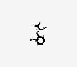 CN[C@@H](Cc1ccccc1Br)C(C)=O